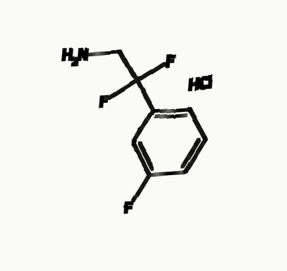 Cl.NCC(F)(F)c1cccc(F)c1